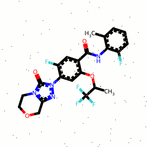 Cc1cccc(F)c1NC(=O)c1cc(F)c(-n2nc3n(c2=O)CCOC3)cc1OC(C)C(F)(F)F